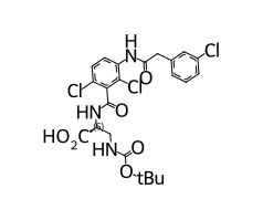 CC(C)(C)OC(=O)NC[C@H](NC(=O)c1c(Cl)ccc(NC(=O)Cc2cccc(Cl)c2)c1Cl)C(=O)O